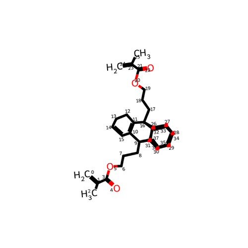 C=C(C)C(=O)OCCCC12C3=C(CCC=C3)C(CCCOC(=O)C(=C)C)(c3ccccc31)c1ccccc12